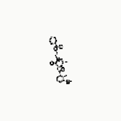 Cc1c(Br)cccc1-c1cc2c(=O)n(CCOC(=O)c3ccccc3)cc(C)c2o1